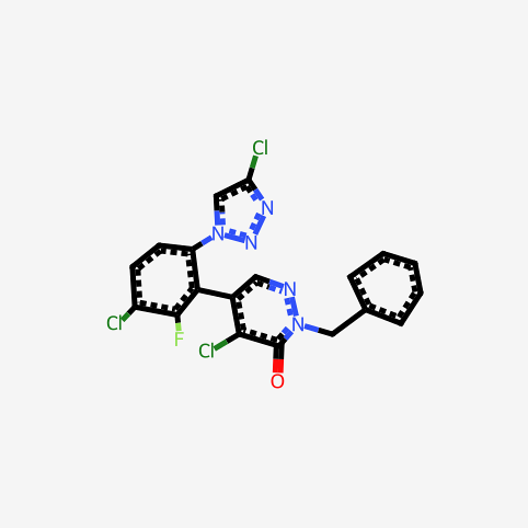 O=c1c(Cl)c(-c2c(-n3cc(Cl)nn3)ccc(Cl)c2F)cnn1Cc1ccccc1